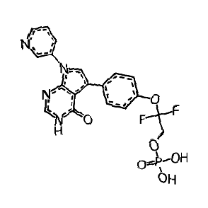 O=c1[nH]cnc2c1c(-c1ccc(OC(F)(F)COP(=O)(O)O)cc1)cn2-c1cccnc1